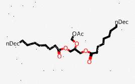 CCCCCCCCCCCCCCCCCC(=O)OCC(COC(=O)CCCCCCCCCCCCCCCCC)OCOC(C)=O